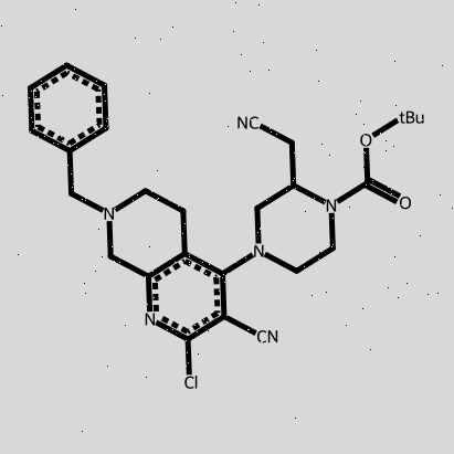 CC(C)(C)OC(=O)N1CCN(c2c(C#N)c(Cl)nc3c2CCN(Cc2ccccc2)C3)CC1CC#N